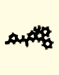 O=C(NCc1cccc(Cl)c1)c1ccc2c(c1)N=C(N1CCCCC1)C1C=CC=CC1S2(=O)=O